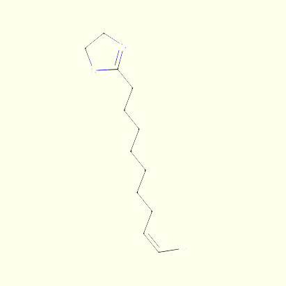 CCCCCCCC/C=C\CCCCCCCC1=NCCN1